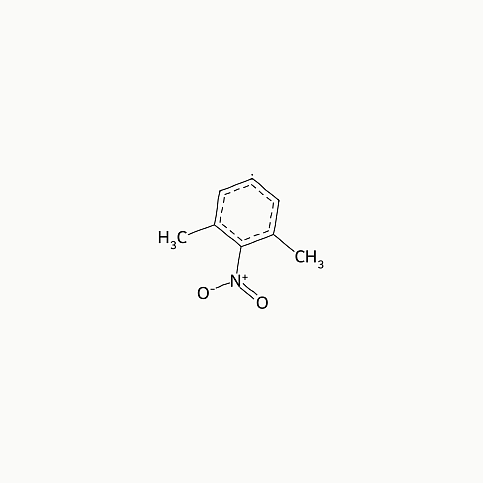 Cc1c[c]cc(C)c1[N+](=O)[O-]